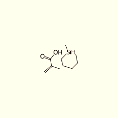 C=C(C)C(=O)O.C[SiH]1CCCCC1